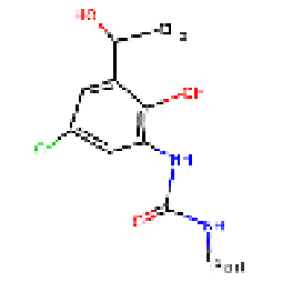 CCCCCNC(=O)Nc1cc(Cl)cc(C(C)O)c1O